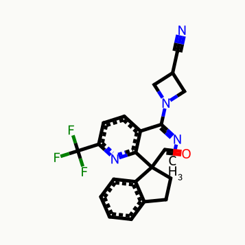 C/N=C(\c1ccc(C(F)(F)F)nc1C1(C=O)CCc2ccccc21)N1CC(C#N)C1